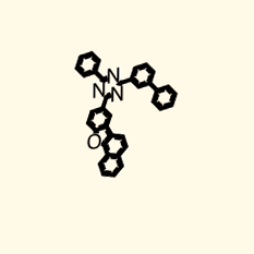 c1ccc(-c2cccc(-c3nc(-c4ccccc4)nc(-c4ccc5oc6c7ccccc7ccc6c5c4)n3)c2)cc1